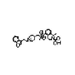 CC1c2cccc(S(=O)(=O)N(C)CC3CCN(CCc4coc5ccccc45)CC3)c2CCN1C(=O)O